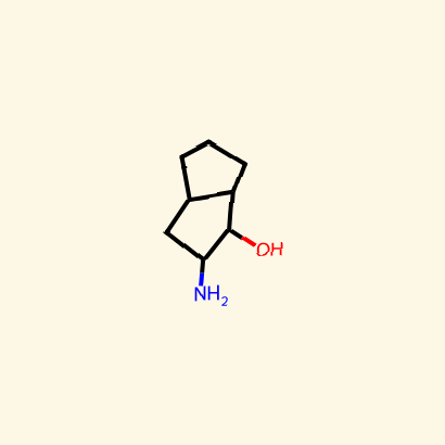 NC1CC2CCCC2C1O